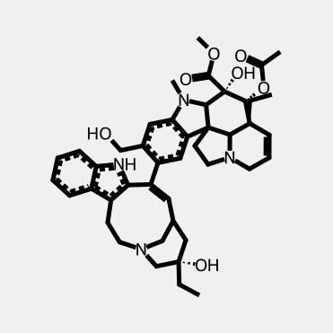 CC[C@]1(O)CC2/C=C(/c3cc4c(cc3CO)N(C)C3C45CCN4CC=C[C@](CC)(C45)[C@@H](OC(C)=O)[C@]3(O)C(=O)OC)c3[nH]c4ccccc4c3CCN(C2)C1